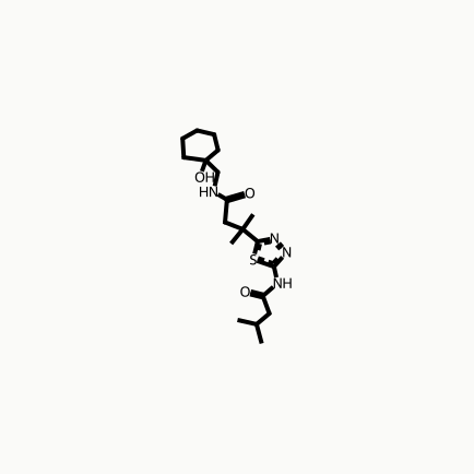 CC(C)CC(=O)Nc1nnc(C(C)(C)CC(=O)NCC2(O)CCCCC2)s1